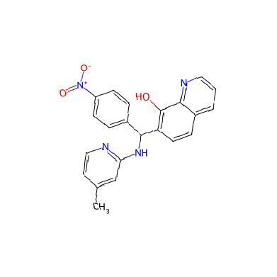 Cc1ccnc(NC(c2ccc([N+](=O)[O-])cc2)c2ccc3cccnc3c2O)c1